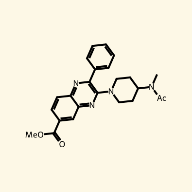 COC(=O)c1ccc2nc(-c3ccccc3)c(N3CCC(N(C)C(C)=O)CC3)nc2c1